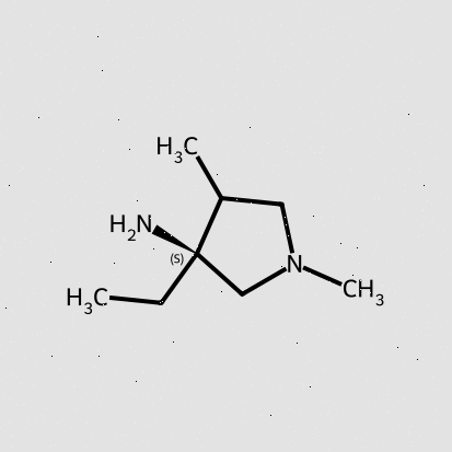 CC[C@@]1(N)CN(C)CC1C